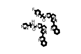 CC(C)(C(=O)N1CCC2(CCn3nc(-c4cnc5ccccc5c4)cc32)C1)c1ccc(F)cn1.CC(C)(NC(=O)N1CCC2(CCn3nc(-c4cnc5ccccc5c4)cc32)C1)c1ccncn1